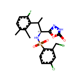 Cc1ccc(F)c(C(C)[C@H](NS(=O)(=O)c2ccc(Cl)cc2CBr)c2n[nH]c(=O)o2)c1C